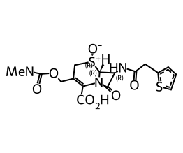 CNC(=O)OCC1=C(C(=O)O)N2C(=O)[C@@H](NC(=O)Cc3cccs3)[C@H]2[S@@+]([O-])C1